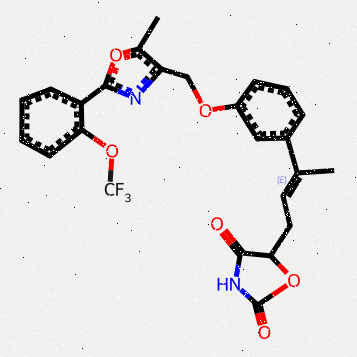 C/C(=C\CC1OC(=O)NC1=O)c1cccc(OCc2nc(-c3ccccc3OC(F)(F)F)oc2C)c1